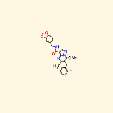 COc1c(Cc2ccccc2F)c(C)nc2c(C(=O)NCc3ccc4c(c3)OCO4)cnn12